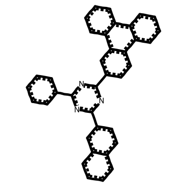 c1ccc(-c2nc(-c3ccc4ccccc4c3)nc(-c3ccc4c5ccccc5c5ccccc5c4c3)n2)cc1